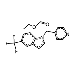 CCOC=O.FC(F)(F)c1ccc2c(ccn2Cc2ccncc2)c1